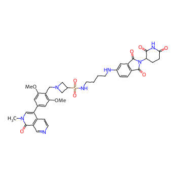 COc1cc(-c2cn(C)c(=O)c3cnccc23)cc(OC)c1CN1CC(S(=O)(=O)NCCCCNc2ccc3c(c2)C(=O)N(C2CCC(=O)NC2=O)C3=O)C1